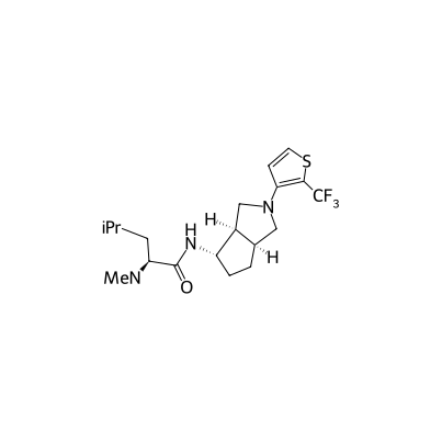 CN[C@@H](CC(C)C)C(=O)N[C@H]1CC[C@@H]2CN(c3ccsc3C(F)(F)F)C[C@@H]21